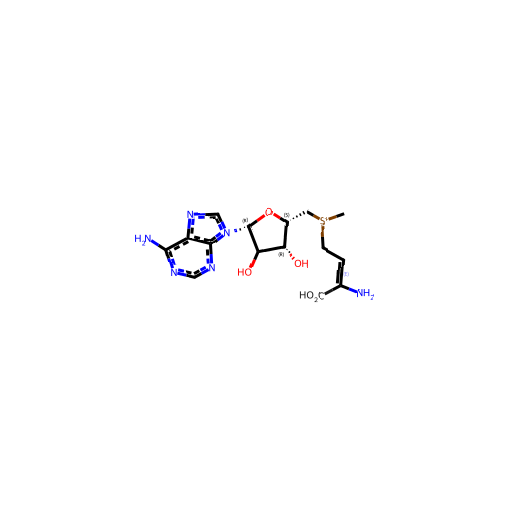 C[S+](C/C=C(/N)C(=O)O)C[C@H]1O[C@@H](n2cnc3c(N)ncnc32)C(O)[C@H]1O